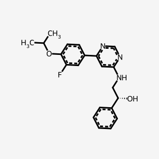 CC(C)Oc1ccc(-c2cc(NC[C@H](O)c3ccccc3)ncn2)cc1F